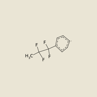 CC(F)(F)C(F)(F)c1cc[c]cc1